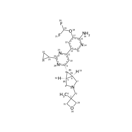 CC1(CN2C[C@@H]3[C@H](C2)[C@H]3c2cc(-c3cnc(N)c(OC(F)F)c3)nc(C3CC3)n2)COC1